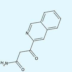 NC(=O)CC(=O)c1cc2ccccc2cn1